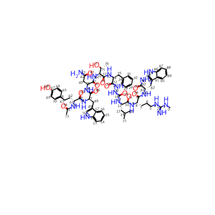 CNC(=N)NCCC[C@H](NC(=O)[C@H](CC(C)C)NC(=O)NNC(=O)[C@H](Cc1ccccc1)NC(=O)[C@@H](NC(=O)[C@H](CC(N)=O)NC(=O)[C@@H](Cc1c[nH]c2ccccc12)NC(=O)[C@@H](CCc1ccc(O)cc1)NC(C)=O)[C@@H](C)O)C(=O)N[C@@H](Cc1c[nH]c2ccccc12)C(N)=O